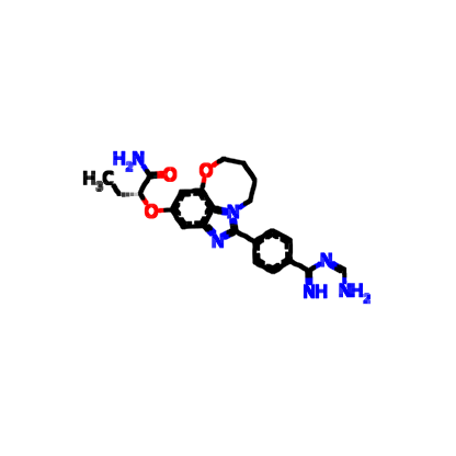 CC[C@@H](Oc1cc2c3c(c1)nc(-c1ccc(C(=N)/N=C\N)cc1)n3CCCCO2)C(N)=O